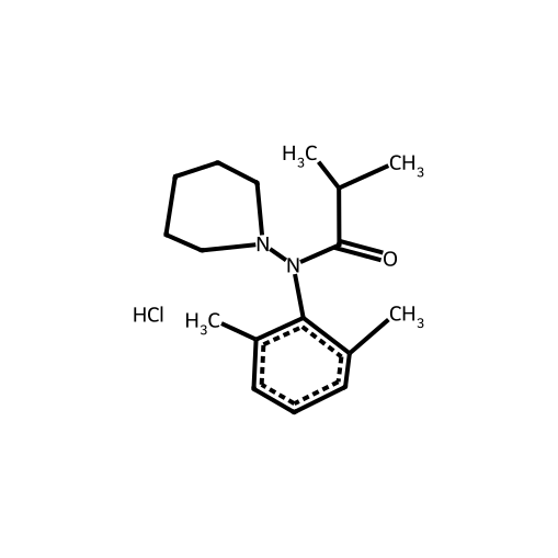 Cc1cccc(C)c1N(C(=O)C(C)C)N1CCCCC1.Cl